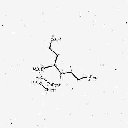 CCCCCC.CCCCCC.CCCCCCCCCCCCNC(CCC(=O)O)C(=O)O